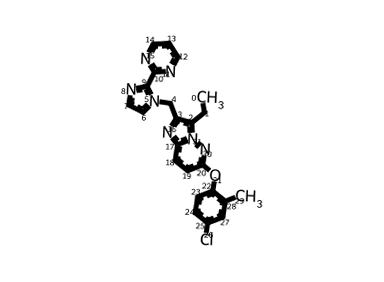 CCc1c(Cn2ccnc2-c2ncccn2)nc2ccc(Oc3ccc(Cl)cc3C)nn12